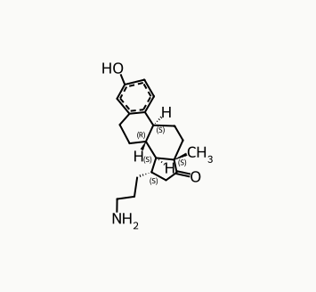 C[C@]12CC[C@@H]3c4ccc(O)cc4CC[C@H]3[C@@H]1[C@@H](CCCN)CC2=O